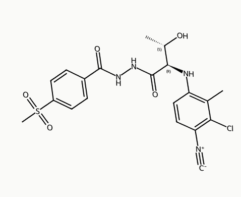 [C-]#[N+]c1ccc(N[C@@H](C(=O)NNC(=O)c2ccc(S(C)(=O)=O)cc2)[C@H](C)O)c(C)c1Cl